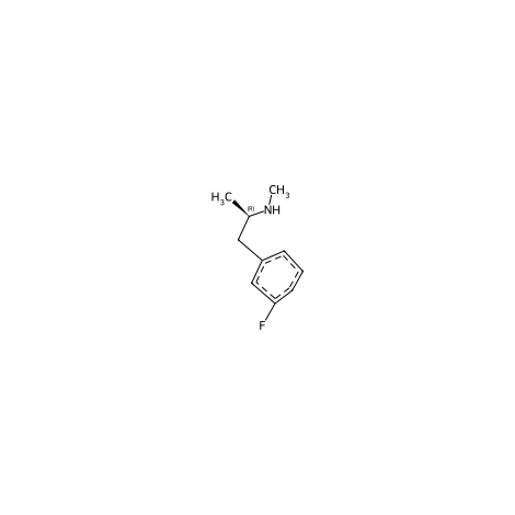 CN[C@H](C)Cc1cccc(F)c1